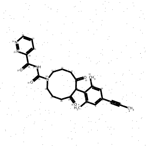 CC#Cc1cc(C)c(C2C(=O)CCCN(C(=O)NC(=O)c3cccnn3)CCCC2=O)c(C)c1